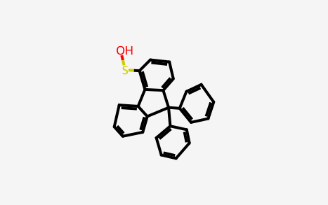 OSc1cccc2c1-c1ccccc1C2(c1ccccc1)c1ccccc1